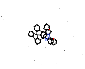 c1ccc(-c2cc(-c3cccc4c3C3(c5ccccc5-4)c4ccccc4-c4c3cc3c5c(cccc45)-c4ccccc4-3)nc(-c3ccccc3)n2)cc1